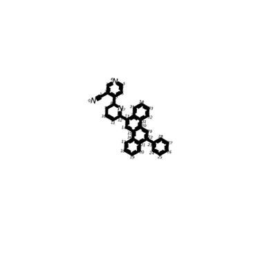 N#Cc1cnccc1C1CC=CC(c2cc3c4ccccc4c(-c4ccccc4)cc3c3ccccc23)=N1